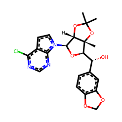 CC1(C)O[C@H]2[C@H](n3ccc4c(Cl)ncnc43)O[C@H]([C@H](O)c3ccc4c(c3)OCO4)[C@@]2(C)O1